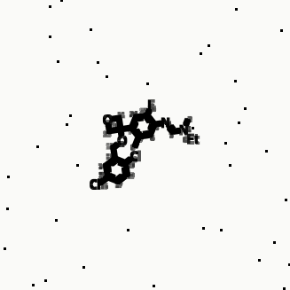 CCN(C)C=Nc1cc(C)c(C2(OCc3cc(Cl)ccc3Cl)COC2)cc1F